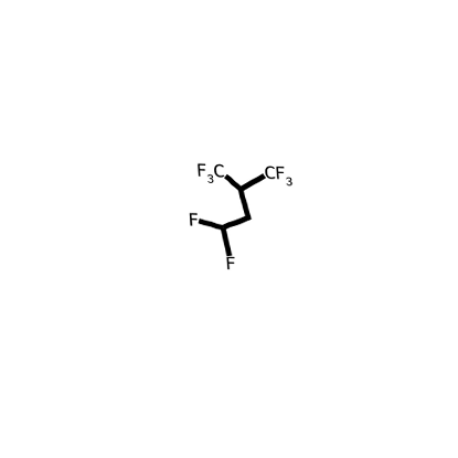 FC(F)CC(C(F)(F)F)C(F)(F)F